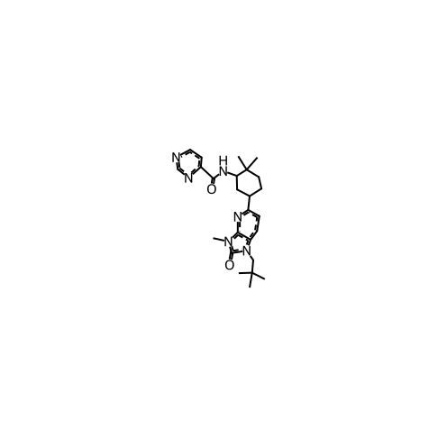 Cn1c(=O)n(CC(C)(C)C)c2ccc(C3CCC(C)(C)C(NC(=O)c4ccncn4)C3)nc21